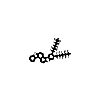 CC(F)(F)C(F)(F)C(F)(F)C(F)(F)C(F)(F)c1cc2oc3ccc4c(ccc5oc6ccccc6c54)c3c2cc1C(F)(F)C(F)(F)C(F)(F)C(F)(F)C(C)(F)F